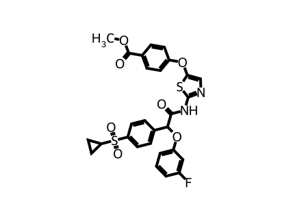 COC(=O)c1ccc(Oc2cnc(NC(=O)C(Oc3cccc(F)c3)c3ccc(S(=O)(=O)C4CC4)cc3)s2)cc1